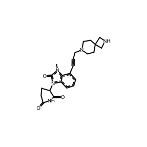 Cn1c(=O)n(C2CCC(=O)NC2=O)c2cccc(C#CCN3CCC4(CC3)CNC4)c21